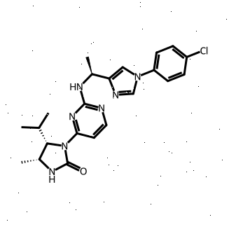 CC(C)[C@H]1[C@@H](C)NC(=O)N1c1ccnc(N[C@@H](C)c2cn(-c3ccc(Cl)cc3)cn2)n1